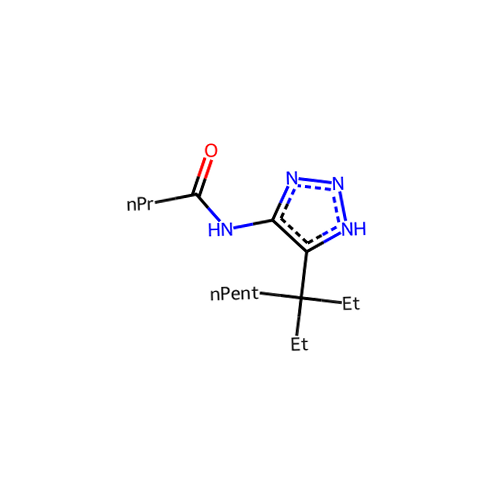 CCCCCC(CC)(CC)c1[nH]nnc1NC(=O)CCC